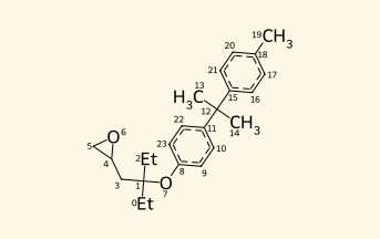 CCC(CC)(CC1CO1)Oc1ccc(C(C)(C)c2ccc(C)cc2)cc1